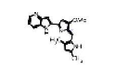 COC1=CC(c2cc3ncccc3[nH]2)=N/C1=C\c1[nH]c(C)cc1C